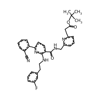 CC(C)(C)OC(=O)Cc1cccc(CNC(=O)c2ccc(-c3ccccc3C#N)nc2NCCc2cccc(F)c2)n1